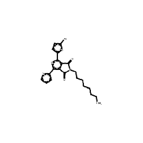 CCCCCCCCN1C(=O)c2c(-c3cccs3)sc(-c3ccc(Br)s3)c2C1=O